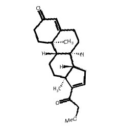 COCC(=O)C1=CC[C@H]2[C@@H]3CCC4=CC(=O)CC[C@]4(C)[C@H]3CC[C@]12C